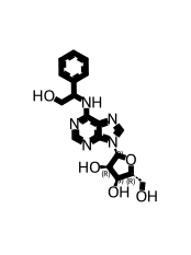 OCC(Nc1ncnc2c1ncn2[C@@H]1O[C@H](CO)[C@@H](O)[C@H]1O)c1ccccc1